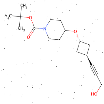 CC(C)(C)OC(=O)N1CCC(O[C@H]2C[C@H](C#CCO)C2)CC1